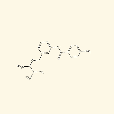 N[C@H](C(=O)O)[C@H](OCc1cccc(NC(=O)c2ccc([N+](=O)[O-])cc2)c1)C(=O)O